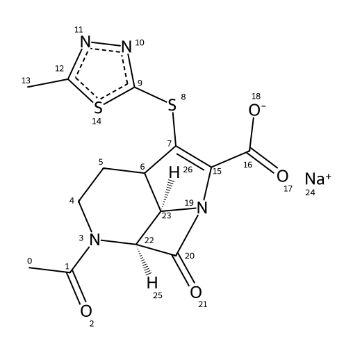 CC(=O)N1CCC2C(Sc3nnc(C)s3)=C(C(=O)[O-])N3C(=O)[C@@H]1[C@@H]23.[Na+]